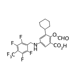 O=COc1c(C(=O)O)cc(NCc2c(F)c(F)c(C(F)(F)F)c(F)c2F)cc1C1CCCCC1